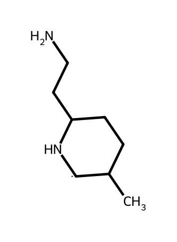 CC1[CH]NC(CCN)CC1